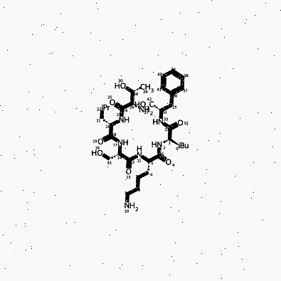 CC[C@H](C)[C@H](NC(=O)[C@H](CCCCN)NC(=O)[C@H](CO)NC(=O)[C@H](CC(C)C)NC(=O)[C@@H](N)[C@@H](C)O)C(=O)N[C@@H](Cc1ccccc1)C(=O)O